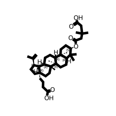 C=C(C)[C@@H]1CC[C@]2(CCCC(=O)O)CC[C@]3(C)[C@H](CC[C@@H]4[C@@]5(C)CC[C@H](OC(=O)CC(C)(C)CC(=O)O)C(C)(C)[C@@H]5CC[C@]43C)[C@@H]12